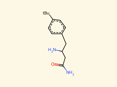 CC(C)(C)c1ccc(CC(N)CC(N)=O)cc1